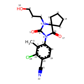 Cc1c(N2C(=O)N(CCCO)C3(CCCC3)C2=O)ccc(C#N)c1Cl